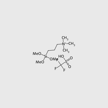 CO[Si](CCC[N+](C)(C)C)(OC)OC.O=S(=O)(O)C(F)(F)F